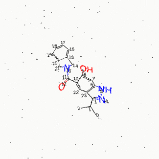 CC(C)c1n[nH]c2cc(O)c(C(=O)N3Cc4ccccc4C3)cc12